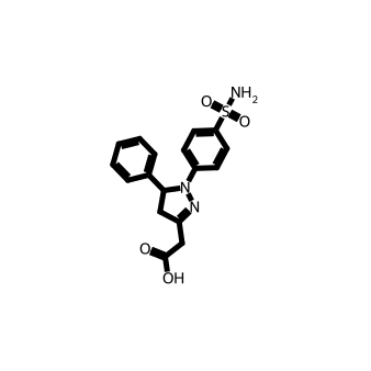 NS(=O)(=O)c1ccc(N2N=C(CC(=O)O)CC2c2ccccc2)cc1